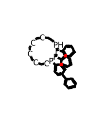 c1ccc(-c2ccc(P3CCCCCCCCCCCPP(c4ccccc4)P3c3ccccc3)cc2)cc1